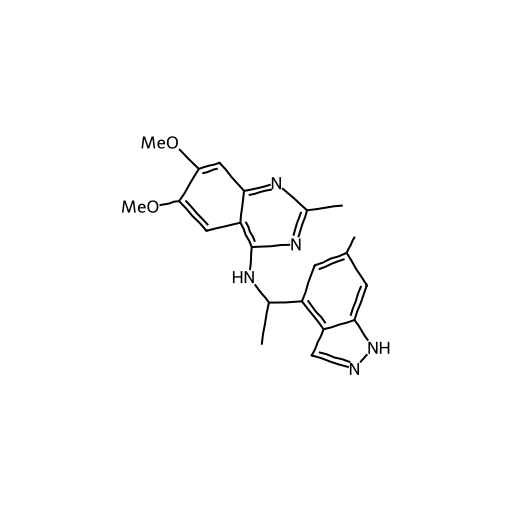 COc1cc2nc(C)nc(NC(C)c3cc(C)cc4[nH]ncc34)c2cc1OC